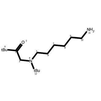 CC(C)(C)C(=O)CN(CCCCCCN)C(C)(C)C